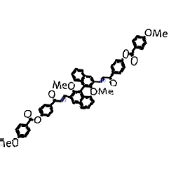 COc1ccc(C(=O)Oc2ccc(C(=O)/C=C/c3cc4ccccc4c(-c4c(OC)c(/C=C/C(=O)c5ccc(OC(=O)c6ccc(OC)cc6)cc5)cc5ccccc45)c3OC)cc2)cc1